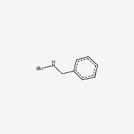 CCC(C)NCc1c[c]ccc1